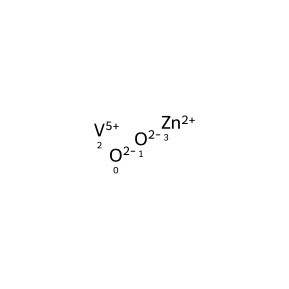 [O-2].[O-2].[V+5].[Zn+2]